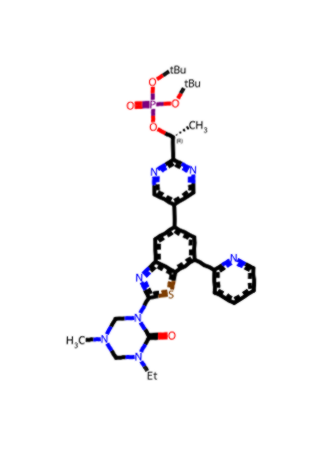 CCN1CN(C)CN(c2nc3cc(-c4cnc([C@@H](C)OP(=O)(OC(C)(C)C)OC(C)(C)C)nc4)cc(-c4ccccn4)c3s2)C1=O